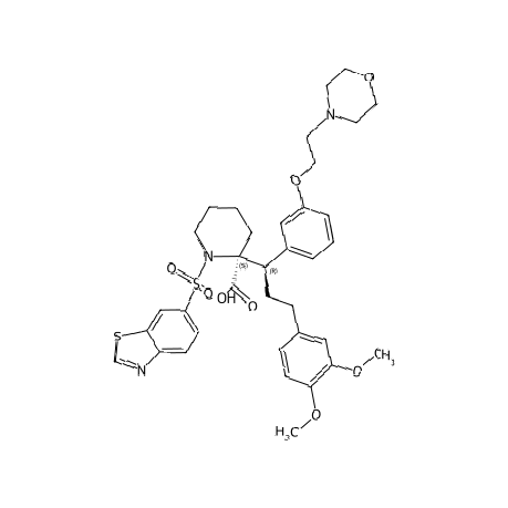 COc1ccc(CC[C@H](c2cccc(OCCN3CCOCC3)c2)[C@]2(C(=O)O)CCCCN2S(=O)(=O)c2ccc3ncsc3c2)cc1OC